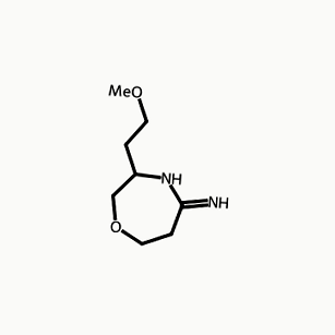 COCCC1COCCC(=N)N1